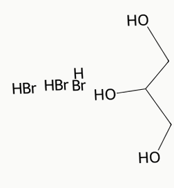 Br.Br.Br.OCC(O)CO